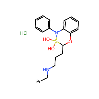 CC(C)CNCCCC1Oc2ccccc2N(c2ccccc2)S1(O)O.Cl